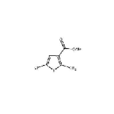 COC(=O)c1cc(Cl)sc1C